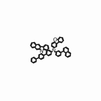 c1ccc(-c2ccc(-c3ccc(N(c4cccc(-c5cccc6ccccc56)c4)c4ccc5oc6ccccc6c5c4)cc3)c(-n3c4ccccc4c4cc5ccccc5cc43)c2)cc1